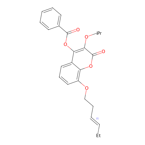 CC/C=C/CCOc1cccc2c(OC(=O)c3ccccc3)c(OC(C)C)c(=O)oc12